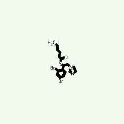 CCCCCC(=O)SC(Cn1ccnc1)c1ccc(Br)cc1Br